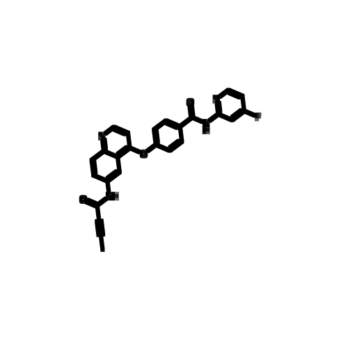 CC#CC(=O)Nc1ccc2nccc(Oc3ccc(C(=O)Nc4cc(F)ccn4)cc3)c2c1